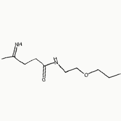 CCCOCCNC(=O)CCC(C)=N